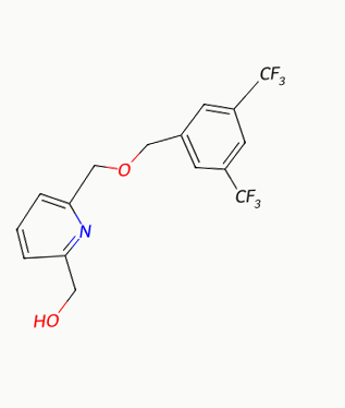 OCc1cccc(COCc2cc(C(F)(F)F)cc(C(F)(F)F)c2)n1